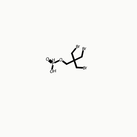 O=[PH](O)OCC(CBr)(CBr)CBr